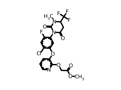 COC(=O)COc1ncccc1Oc1cc(N2C(=O)CC(C(F)(F)F)N(C)C2=O)c(F)cc1Cl